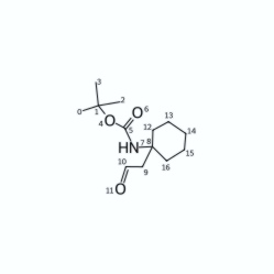 CC(C)(C)OC(=O)NC1(CC=O)CCCCC1